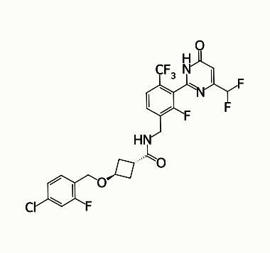 O=c1cc(C(F)F)nc(-c2c(C(F)(F)F)ccc(CNC(=O)[C@H]3C[C@H](OCc4ccc(Cl)cc4F)C3)c2F)[nH]1